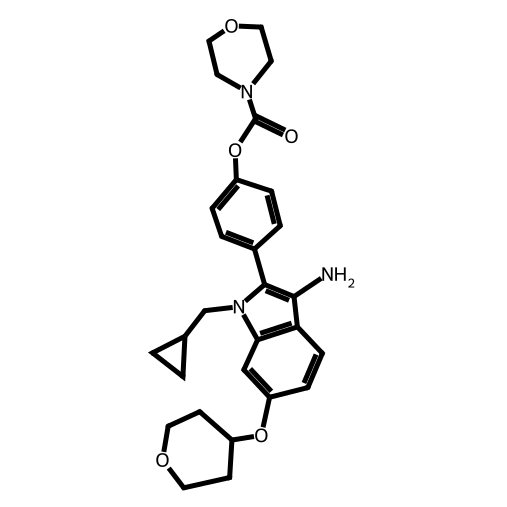 Nc1c(-c2ccc(OC(=O)N3CCOCC3)cc2)n(CC2CC2)c2cc(OC3CCOCC3)ccc12